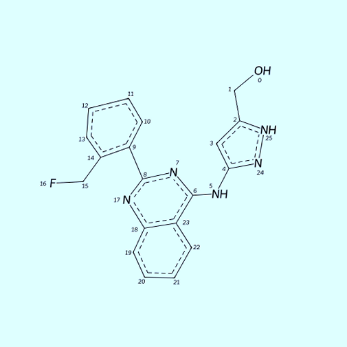 OCc1cc(Nc2nc(-c3ccccc3CF)nc3ccccc23)n[nH]1